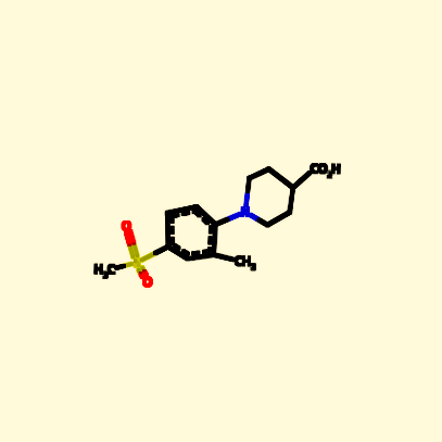 Cc1cc(S(C)(=O)=O)ccc1N1CCC(C(=O)O)CC1